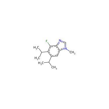 CC(C)c1cc2c(ncn2C)c(F)c1C(C)C